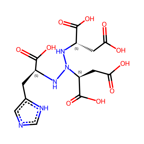 O=C(O)C[C@H](NN(N[C@@H](Cc1cnc[nH]1)C(=O)O)[C@@H](CC(=O)O)C(=O)O)C(=O)O